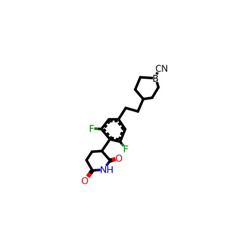 N#CB1CCC(CCc2cc(F)c(C3CCC(=O)NC3=O)c(F)c2)CC1